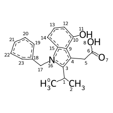 CC(C)c1c(CC(=O)O)c2c(O)cccc2n1Cc1ccccc1